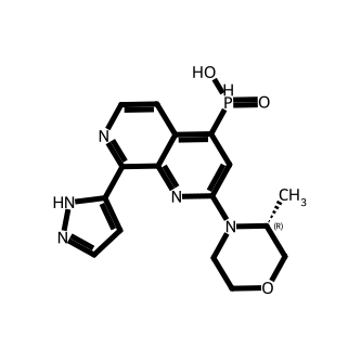 C[C@@H]1COCCN1c1cc([PH](=O)O)c2ccnc(-c3ccn[nH]3)c2n1